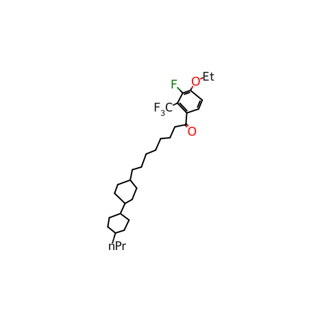 CCCC1CCC(C2CCC(CCCCCCCC(=O)c3ccc(OCC)c(F)c3C(F)(F)F)CC2)CC1